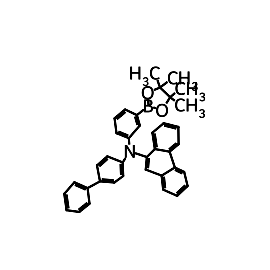 CC1(C)OB(c2cccc(N(c3ccc(-c4ccccc4)cc3)c3cc4ccccc4c4ccccc34)c2)OC1(C)C